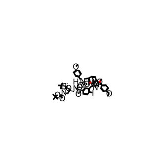 COc1ccc(CN(Cc2ccc(OC)cc2)S(=O)(=O)c2c(S(=O)(=O)NC[C@@H](CNC(=O)OC(C)(C)C)O[Si](C)(C)C(C)(C)C)ccc(I)c2-c2nnn(Cc3ccc(OC)cc3)n2)cc1